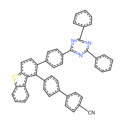 N#Cc1ccc(-c2ccc(-c3c(-c4ccc(-c5nc(-c6ccccc6)nc(-c6ccccc6)n5)cc4)ccc4sc5ccccc5c34)cc2)cc1